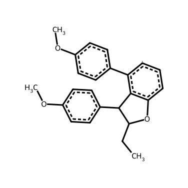 CCC1Oc2cc[c]c(-c3ccc(OC)cc3)c2C1c1ccc(OC)cc1